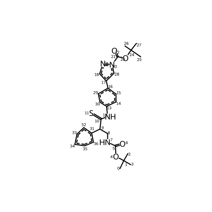 CC(C)(C)OC(=O)NCC(C(=S)Nc1ccc(-c2cnn(C(=O)OC(C)(C)C)c2)cc1)c1ccccc1